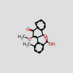 COC1=C(c2c(C)cccc2C(=O)O)C(=O)c2ccccc2C1=O